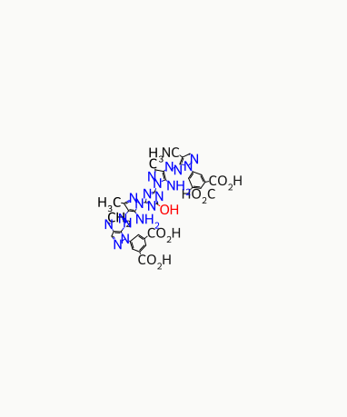 C=Nc1cnn(-c2cc(C(=O)O)cc(C(=O)O)c2)c1N=Nc1c(C)nn(-c2nc(O)nc(-n3nc(C)c(N=Nc4c(C#N)cnn4-c4cc(C(=O)O)cc(C(=O)O)c4)c3N)n2)c1N